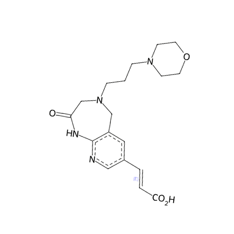 O=C(O)/C=C/c1cnc2c(c1)CN(CCCN1CCOCC1)CC(=O)N2